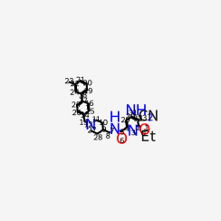 CCOc1nc(C(=O)NCC2CCN(Cc3ccc(-c4cccc(C)c4)cc3)CC2)cc(N)c1C#N